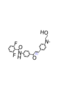 CN(CCO)c1ccc(/C=C/C(=O)c2ccc(NC(=O)c3c(F)cccc3F)cc2)cc1